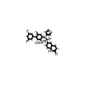 COc1cc(-c2cc(F)cc(F)c2)c(C)cc1N(c1ccon1)S(=O)(=O)c1ccc2[nH]c(=O)ccc2c1